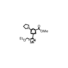 CCOCn1nnnc1-c1cc(C(=O)OC)cc(N2CCCC2)c1